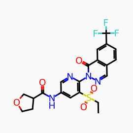 CCS(=O)(=O)c1cc(NC(=O)C2CCOC2)cnc1-n1ncc2ccc(C(F)(F)F)cc2c1=O